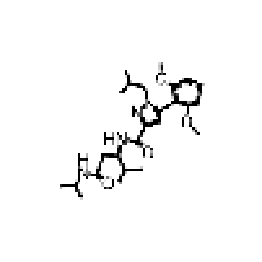 COc1cccc(OC)c1-c1cc(C(=O)NC(CC(=O)NC(C)C)C(C)C)nn1CC(C)C